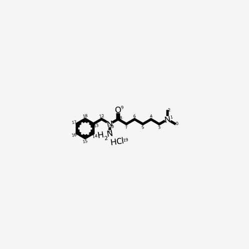 CN(C)CCCCCC(=O)N(N)Cc1ccccc1.Cl